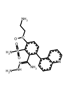 NCC[S+]([O-])c1ccc(-c2cccc3ncccc23)c(/C(N)=N/NN)c1S(N)(=O)=O